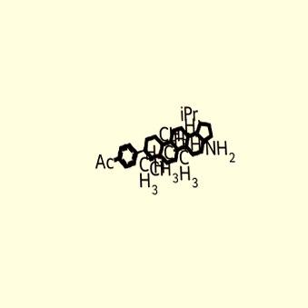 CC(=O)c1ccc([C@H]2CC[C@]3(C)[C@H]4CC[C@@H]5[C@H]6[C@H](C(C)C)CC[C@]6(N)CC[C@@]5(C)[C@]4(C)CC[C@H]3C2(C)C)cc1